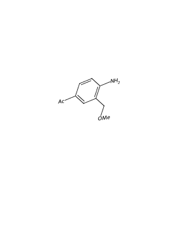 COCc1cc(C(C)=O)ccc1N